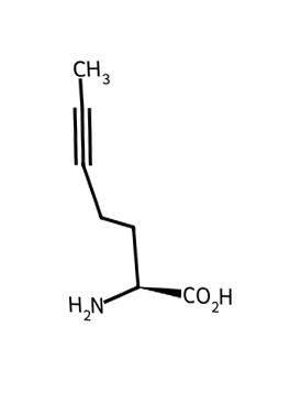 CC#CCC[C@H](N)C(=O)O